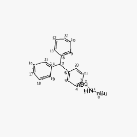 CCCCNCCCC.c1ccc(C(c2ccccc2)c2ccccc2)cc1